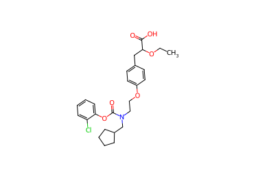 CCOC(Cc1ccc(OCCN(CC2CCCC2)C(=O)Oc2ccccc2Cl)cc1)C(=O)O